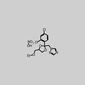 CCOCC1COC(Cn2cncn2)(c2ccc(Cl)cc2Cl)O1.O=[N+]([O-])O